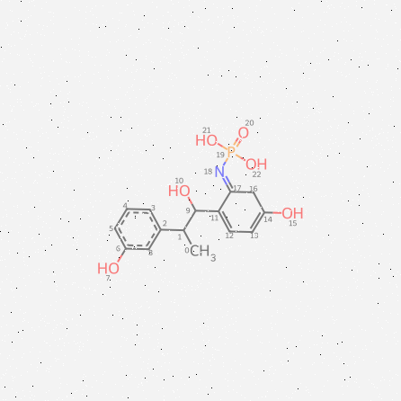 CC(c1cccc(O)c1)C(O)C1=CC=C(O)CC1=NP(=O)(O)O